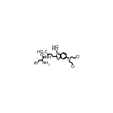 CC(C)C[C@H](N)C(=O)N[C@@H](CCc1nc2cc(N(CCCl)CCCl)ccc2n1C)C(=O)O.Cl.Cl